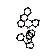 c1ccc(N(c2ccccc2-c2cccc3ccccc23)c2cccc3c2-c2cccc4c2-c2ccccc2-c2cccc-4c2-3)cc1